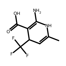 CC1=CC(C(F)(F)F)C(C(=O)O)=C(N)N1